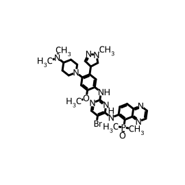 COc1cc(N2CCC(N(C)C)CC2)c(C2C=NN(C)C2)cc1Nc1ncc(Br)c(Nc2ccc3nccnc3c2P(C)(C)=O)n1